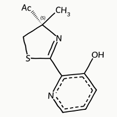 CC(=O)[C@@]1(C)CSC(c2ncccc2O)=N1